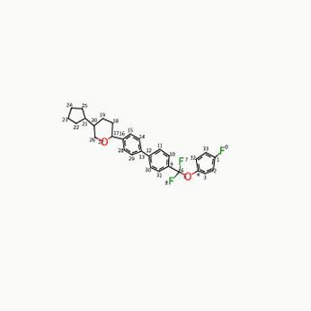 Fc1ccc(OC(F)(F)c2ccc(-c3ccc(C4CCC(C5CCCC5)CO4)cc3)cc2)cc1